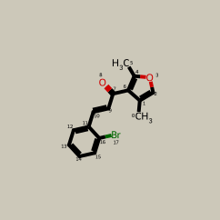 Cc1coc(C)c1C(=O)C=Cc1ccccc1Br